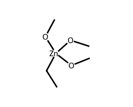 C[CH2][Zn]([O]C)([O]C)[O]C